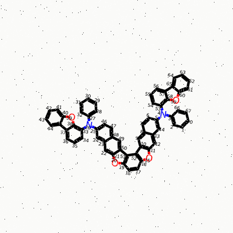 c1ccc(N(c2ccc3cc4c(cc3c2)oc2ccc3oc5cc6cc(N(c7ccccc7)c7cccc8c7oc7ccccc78)ccc6cc5c3c24)c2cccc3c2oc2ccccc23)cc1